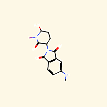 CNc1ccc2c(c1)C(=O)N(C1CCC(O)N(I)C1=O)C2=O